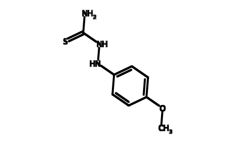 COc1ccc(NNC(N)=S)cc1